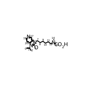 C=C(C)n1c(=O)n(CCCCCCN(C)C(=O)O)c2cnccc21